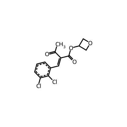 CC(=O)C(=Cc1cccc(Cl)c1Cl)C(=O)OC1COC1